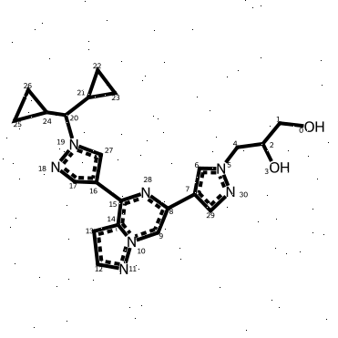 OCC(O)Cn1cc(-c2cn3nccc3c(-c3cnn(C(C4CC4)C4CC4)c3)n2)cn1